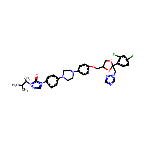 CC(C)C(C)n1ncn(-c2ccc(N3CCN(c4ccc(OCC5COC(Cn6cncn6)(c6ccc(F)cc6F)O5)cc4)CC3)cc2)c1=O